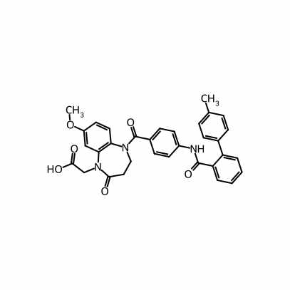 COc1ccc2c(c1)N(CC(=O)O)C(=O)CCN2C(=O)c1ccc(NC(=O)c2ccccc2-c2ccc(C)cc2)cc1